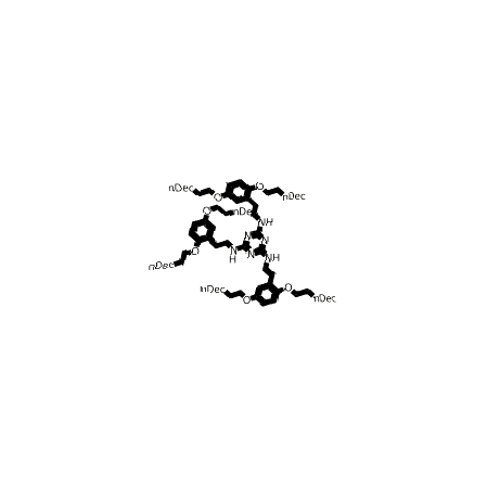 CCCCCCCCCCCCOc1ccc(OCCCCCCCCCCCC)c(CCNc2nc(NCCc3cc(OCCCCCCCCCCCC)ccc3OCCCCCCCCCCCC)nc(NCCc3cc(OCCCCCCCCCCCC)ccc3OCCCCCCCCCCCC)n2)c1